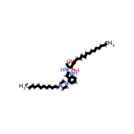 CCCCCCCCCCCCCC#CC(O)C(CO)Nc1cc2c(N3CCN(CCCCCCCCCCCC)CC3)cccc2[nH]1